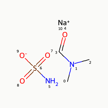 CN(C)C=O.NS(=O)(=O)[O-].[Na+]